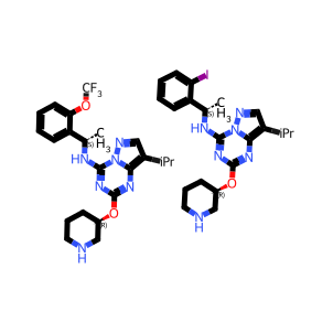 CC(C)c1cnn2c(N[C@@H](C)c3ccccc3I)nc(O[C@@H]3CCCNC3)nc12.CC(C)c1cnn2c(N[C@@H](C)c3ccccc3OC(F)(F)F)nc(O[C@@H]3CCCNC3)nc12